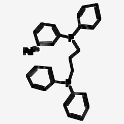 [Pd+2].c1ccc(P(CCCP(c2ccccc2)c2ccccc2)c2ccccc2)cc1